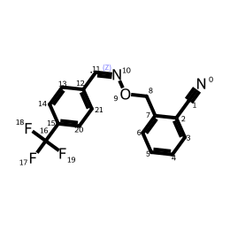 N#Cc1ccccc1CO/N=[C]\c1ccc(C(F)(F)F)cc1